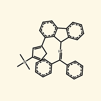 C[Si](C)(C)C1=CCC(c2cccc3c2[CH]([Hf]=[C](c2ccccc2)c2ccccc2)c2ccccc2-3)=C1